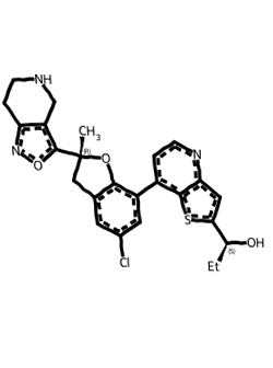 CC[C@H](O)c1cc2nccc(-c3cc(Cl)cc4c3O[C@@](C)(c3onc5c3CNCC5)C4)c2s1